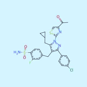 CC(=O)c1csc(-n2nc(-c3ccc(Cl)cc3)c(Cc3ccc(S(N)(=O)=O)c(F)c3)c2CC2CC2)n1